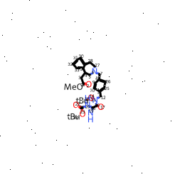 COC(=O)CC1CN(Cc2ccc(CN(OC(C)(C)C)C(=O)C(=N)NC(=O)OC(C)(C)C)cc2)CCc2ccccc21